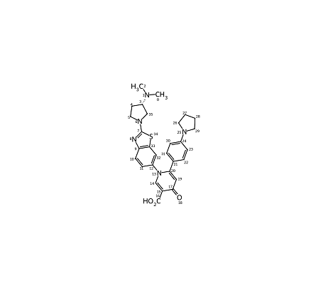 CN(C)[C@H]1CCN(c2nc3ccc(-n4cc(C(=O)O)c(=O)cc4-c4ccc(N5CCCC5)cc4)cc3s2)C1